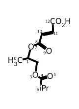 CC(COC(=O)C(C)C)OC(=O)/C=C/C(=O)O